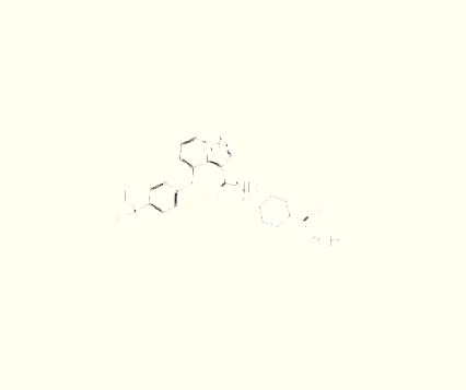 COC(=O)[C@H]1CC[C@H](CNC(=O)c2cnn3cccc(Cc4ccc(C(F)(F)F)cc4)c23)CC1